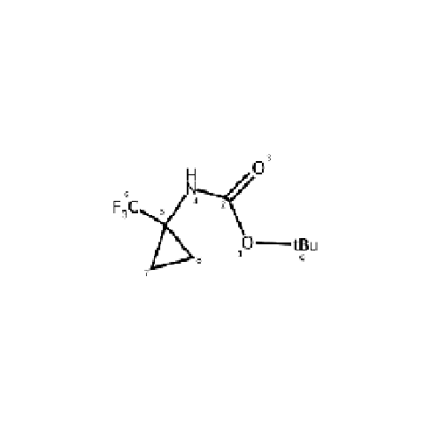 CC(C)(C)OC(=O)NC1(C(F)(F)F)CC1